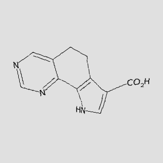 O=C(O)c1c[nH]c2c1CCc1cncnc1-2